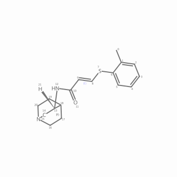 Cc1ccccc1S/C=C/C(=O)N[C@H]1CN2CCC1CC2